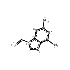 C=Cn1cnc2c(N)nc(N)nc21